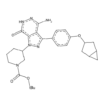 CC(C)(C)OC(=O)N1CCCC(n2nc(-c3ccc(OC4CC5CC5C4)cc3)c3c(N)n[nH]c(=O)c32)C1